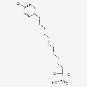 O=C(O)C(Cl)(Cl)CCCCCSCCCCCc1ccc(Cl)cc1